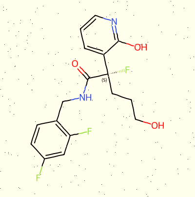 O=C(NCc1ccc(F)cc1F)[C@](F)(CCCO)c1cccnc1O